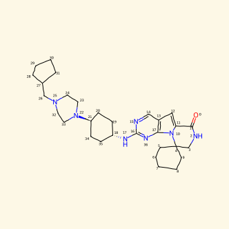 O=C1NCC2(CCCCC2)n2c1cc1cnc(N[C@H]3CC[C@H](N4CCN(CC5CCCC5)CC4)CC3)nc12